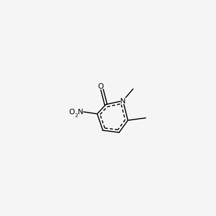 Cc1ccc([N+](=O)[O-])c(=O)n1C